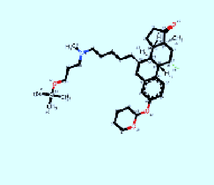 CN(CCCCC[C@@H]1Cc2cc(OC3CCCCO3)ccc2[C@@H]2[C@@H]1[C@@H]1CCC(=O)[C@@]1(C)C[C@@H]2F)CCCO[Si](C)(C)C(C)(C)C